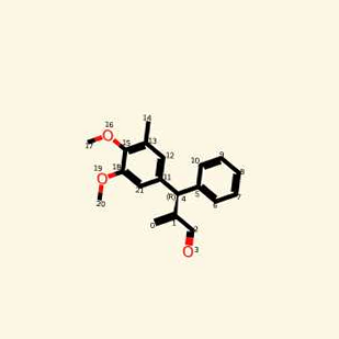 C=C(C=O)[C@H](c1ccccc1)c1cc(C)c(OC)c(OC)c1